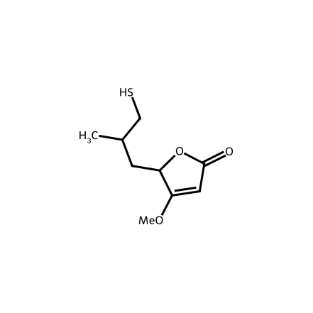 COC1=CC(=O)OC1CC(C)CS